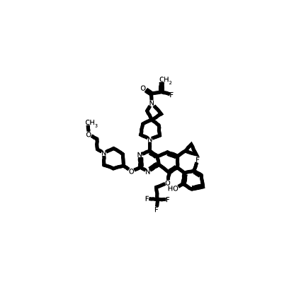 C=C(F)C(=O)N1CC2(CCN(c3nc(OC4CCN(CCOC)CC4)nc4c(OCC(F)(F)F)c(-c5c(O)cccc5F)c(C5CC5)cc34)CC2)C1